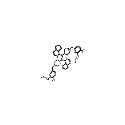 CCOc1cc(CN2CCC(N(c3nccc4ccccc34)N(c3nccc4ccccc34)C3CCN(Cc4ccc(Cl)c(OCC)c4)CC3)CC2)ccc1F